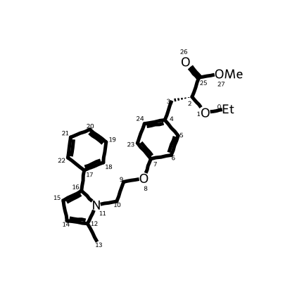 CCO[C@H](Cc1ccc(OCCn2c(C)ccc2-c2ccccc2)cc1)C(=O)OC